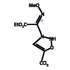 CCOC(=O)/C(=N\OC)N1C=C(C(Cl)(Cl)Cl)ON1